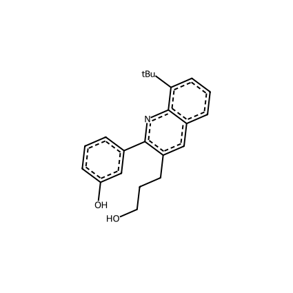 CC(C)(C)c1cccc2cc(CCCO)c(-c3cccc(O)c3)nc12